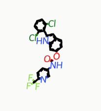 O=C(Nc1ccc(C(F)(F)F)nc1)Oc1ccc2cc(-c3c(Cl)cccc3Cl)[nH]c2c1